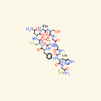 CC[C@H](C)[C@H](NC(=O)CNC(=O)CNC(=O)[C@H](CO)NC(=O)[C@@H](NC(=O)[C@H](CC(N)=O)NC(=O)[C@H](CS)NC(=O)[C@H](Cc1ccccc1)NC(=O)[C@@H](N)CO)[C@@H](C)CC)C(=O)N[C@@H](Cc1c[nH]cn1)C(=O)N[C@@H](CS)C(N)=O